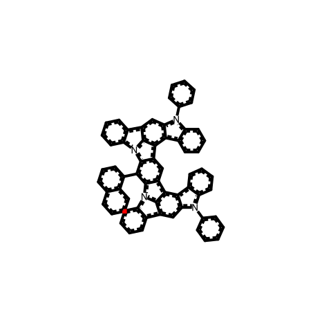 c1ccc(-n2c3ccccc3c3c4c5cc6c7c8c9ccccc9n(-c9ccccc9)c8cc8c9ccccc9n(c6c(-c6cccc9ccccc69)c5n5c6ccccc6c(cc32)c45)c87)cc1